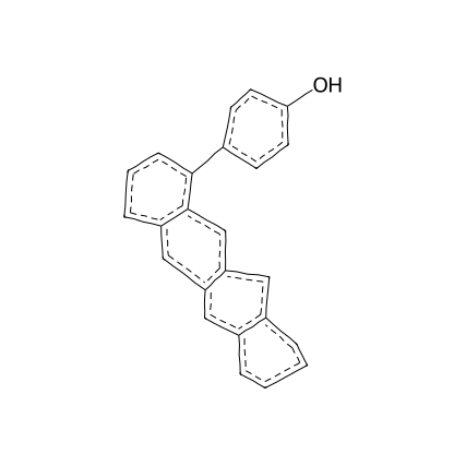 Oc1ccc(-c2cccc3cc4cc5ccccc5cc4cc23)cc1